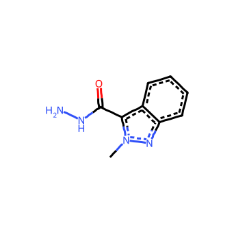 Cn1nc2ccccc2c1C(=O)NN